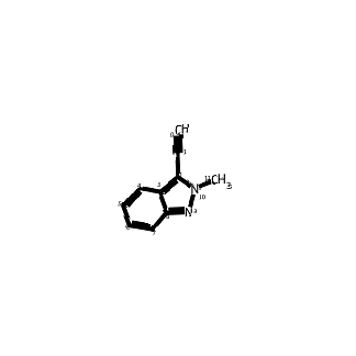 C#Cc1c2ccccc2nn1C